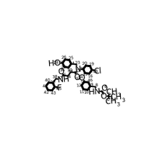 CC(C)(C)OC(=O)NCc1cccc(Oc2cc(Cl)ccc2N(Cc2ccc(O)cc2)C(=O)CCC(=O)NCc2ccccc2F)c1